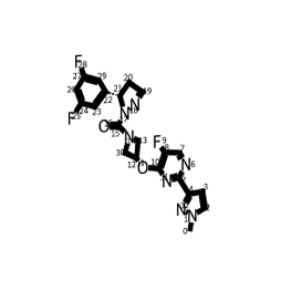 Cn1ccc(-c2ncc(F)c(OC3CN(C(=O)N4N=CC[C@H]4c4cc(F)cc(F)c4)C3)n2)n1